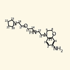 Nc1ccc2c(c1)OCCN2CCNCCOCCN1CCCC1